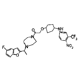 CC(c1cc2cc(F)ccc2o1)N1CCN(C(=O)COC2CCC(Nc3ccc([N+](=O)[O-])c(C(F)(F)F)c3)CC2)CC1